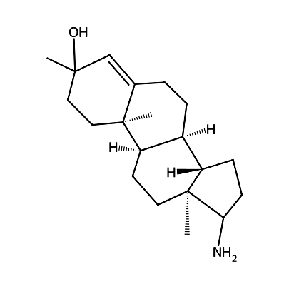 CC1(O)C=C2CC[C@@H]3[C@@H](CC[C@]4(C)C(N)CC[C@@H]34)[C@@]2(C)CC1